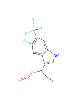 CC(OC=O)c1c[nH]c2cc(C(F)(F)F)c(F)cc12